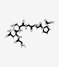 NCC(=O)N[C@@H](CC(=O)O)C(=O)N[C@@H](CO)C(=O)NCC(=O)NCC(=O)N1CCC[C@H]1C(=O)O